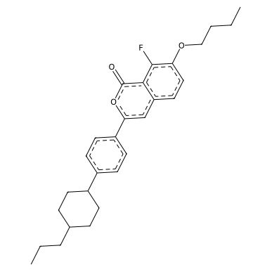 CCCCOc1ccc2cc(-c3ccc(C4CCC(CCC)CC4)cc3)oc(=O)c2c1F